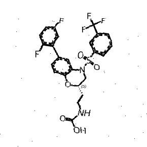 O=C(O)NCC[C@H]1CN(S(=O)(=O)c2cccc(C(F)(F)F)c2)c2cc(-c3cc(F)ccc3F)ccc2O1